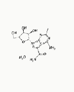 Cc1nc(N)c2c(C(N)=O)cn([C@@H]3O[C@H](CO)[C@@H](O)[C@H]3O)c2n1.O